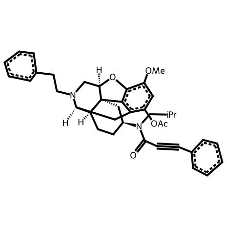 COc1cc(OC(C)=O)c2c3c1O[C@@H]1CN(CCc4ccccc4)[C@H](C2)[C@@H]2CC[C@H](N(CC(C)C)C(=O)C#Cc4ccccc4)C[C@@]312